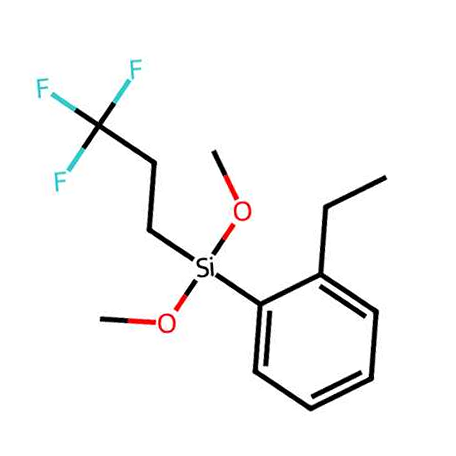 CCc1ccccc1[Si](CCC(F)(F)F)(OC)OC